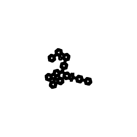 c1ccc(-c2ccc(-c3nc4cc(N(c5ccc(-c6cccc7c6oc6c(-c8ccccc8)cccc67)cc5)c5ccc6c(c5)C(c5ccccc5)(c5ccccc5)c5ccccc5-6)ccc4s3)cc2)cc1